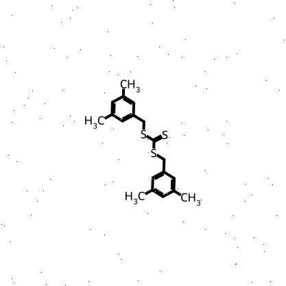 Cc1cc(C)cc(CSC(=S)SCc2cc(C)cc(C)c2)c1